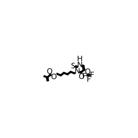 C=C(C)C(=O)OCCCCCCn1c(=S)[nH]cc(OC(F)(F)F)c1=O